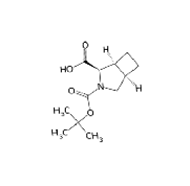 CC(C)(C)OC(=O)N1C[C@@H]2CC[C@@H]2[C@@H]1C(=O)O